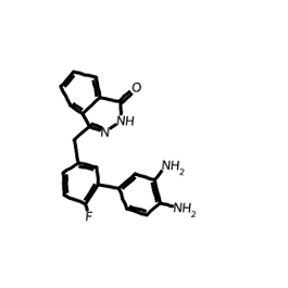 Nc1ccc(-c2cc(Cc3n[nH]c(=O)c4ccccc34)ccc2F)cc1N